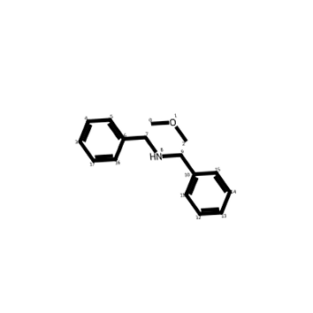 COC.c1ccc(CNCc2ccccc2)cc1